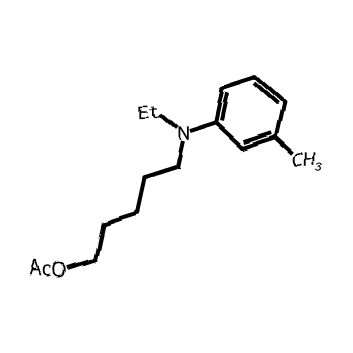 CCN(CCCCCOC(C)=O)c1cccc(C)c1